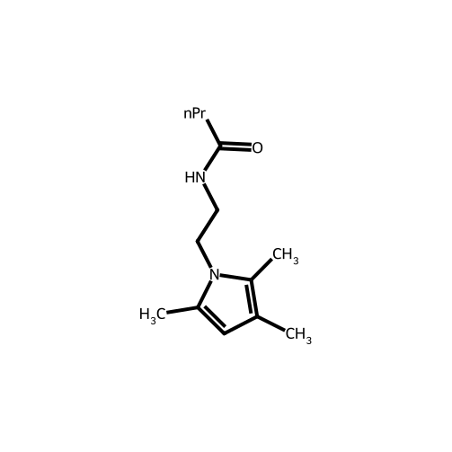 CCCC(=O)NCCn1c(C)cc(C)c1C